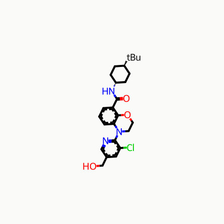 CC(C)(C)[C@H]1CC[C@H](NC(=O)c2cccc3c2OCCN3c2ncc(CO)cc2Cl)CC1